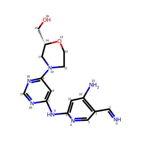 N=Cc1cnc(Nc2cc(N3CCO[C@@H](CO)C3)ncn2)cc1N